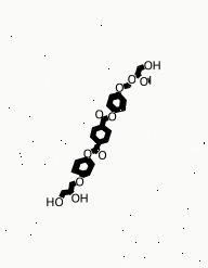 O=C(Oc1ccc(OCOC(CO)OI)cc1)C1CCC(C(=O)Oc2ccc(OCC(O)CO)cc2)CC1